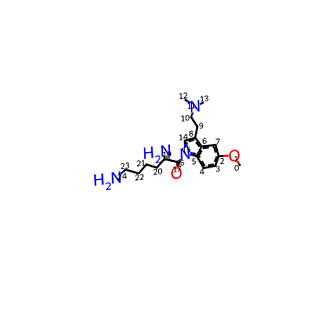 COc1ccc2c(c1)c(CCN(C)C)cn2C(=O)[C@@H](N)CCCCN